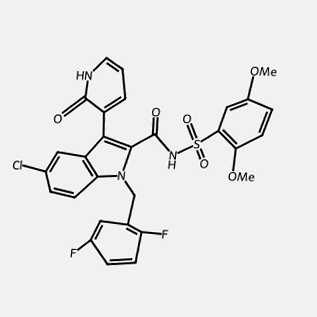 COc1ccc(OC)c(S(=O)(=O)NC(=O)c2c(-c3ccc[nH]c3=O)c3cc(Cl)ccc3n2Cc2cc(F)ccc2F)c1